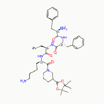 CC(C)C[C@@H](NC(=O)[C@@H](Cc1ccccc1)NC(=O)[C@H](N)Cc1ccccc1)C(=O)N[C@H](CCCCN)C(=O)N1CCCC(B2OC(C)(C)C(C)(C)O2)C1